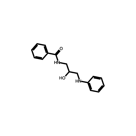 O=C(NCC(O)CNc1ccccc1)c1ccccc1